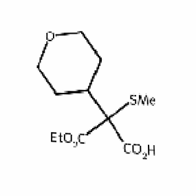 CCOC(=O)C(SC)(C(=O)O)C1CCOCC1